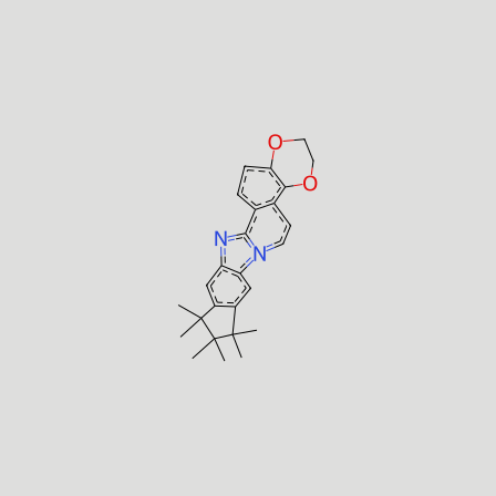 CC1(C)c2cc3nc4c5ccc6c(c5ccn4c3cc2C(C)(C)C1(C)C)OCCO6